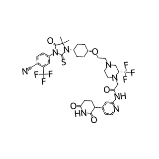 CC1(C)C(=O)N(c2ccc(C#N)c(C(F)(F)F)c2)C(=S)N1[C@H]1CC[C@H](OCCN2CCN(CC(=O)Nc3cc(C4CCC(=O)NC4=O)ccn3)[C@@H](C(F)(F)F)C2)CC1